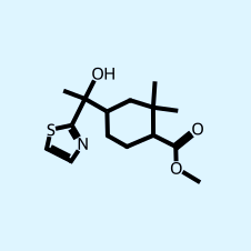 COC(=O)C1CCC(C(C)(O)c2nccs2)CC1(C)C